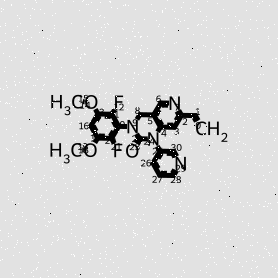 C=Cc1cc2c(cn1)CN(c1c(F)c(OC)cc(OC)c1F)C(=O)N2c1cccnc1